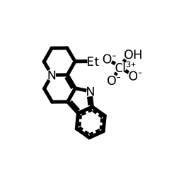 CCC1CCCN2CCC3=c4ccccc4=NC3=C12.[O-][Cl+3]([O-])([O-])O